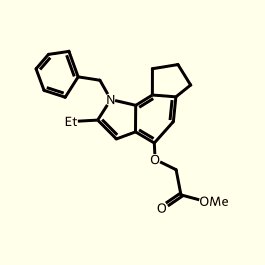 CCc1cc2c(OCC(=O)OC)cc3c(c2n1Cc1ccccc1)CCC3